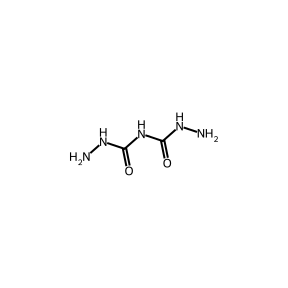 NNC(=O)NC(=O)NN